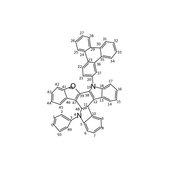 c1ccc(-n2c3ccccc3c3c4c5ccccc5n(-c5ccc6c7ccccc7c7ccccc7c6c5)c4c4oc5ccccc5c4c32)cc1